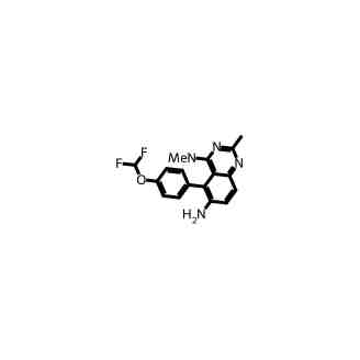 CNc1nc(C)nc2ccc(N)c(-c3ccc(OC(F)F)cc3)c12